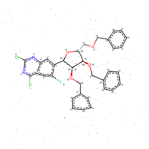 Fc1cc2c(Cl)nc(Cl)nc2cc1C1O[C@H](COCc2ccccc2)[C@@H](OCc2ccccc2)[C@H]1OCc1ccccc1